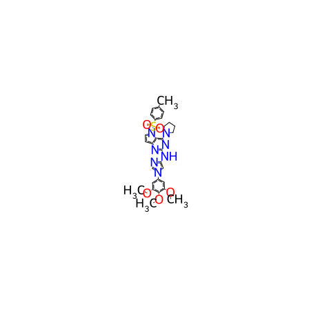 COc1cc(-n2cnc(Nc3nc(N4CCCC4)c4c(ccn4S(=O)(=O)c4ccc(C)cc4)n3)c2)cc(OC)c1OC